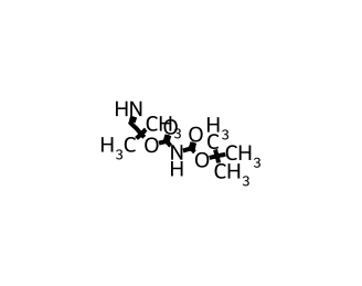 CC(C)(C)OC(=O)NC(=O)OC(C)(C)C=N